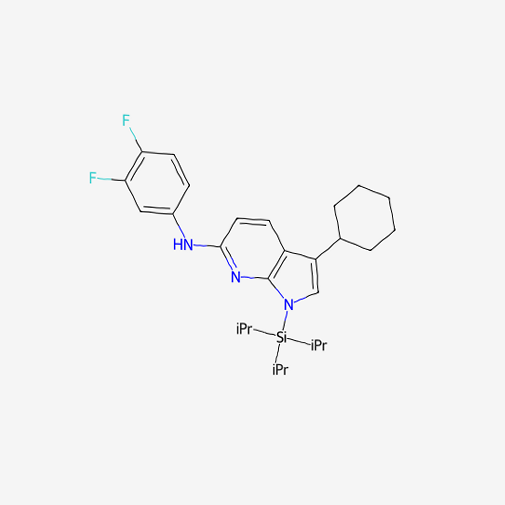 CC(C)[Si](C(C)C)(C(C)C)n1cc(C2CCCCC2)c2ccc(Nc3ccc(F)c(F)c3)nc21